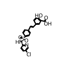 O=C(O)c1cc(C=Cc2ccc(S(=O)(=O)Nc3ccc(Cl)cn3)cc2)ccc1O